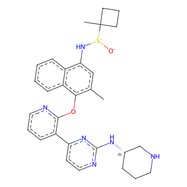 Cc1cc(N[S+]([O-])C2(C)CCC2)c2ccccc2c1Oc1ncccc1-c1ccnc(N[C@H]2CCCNC2)n1